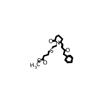 COC(=O)CCCSCCN1C(=O)CCCC1/C=C/C(=O)Cc1ccccc1